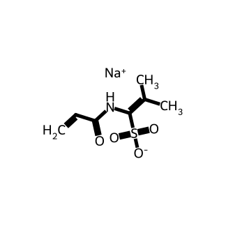 C=CC(=O)NC(=C(C)C)S(=O)(=O)[O-].[Na+]